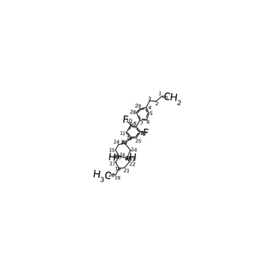 C=CCCc1ccc(-c2c(F)cc([C@@H]3CC[C@@H]4CC(CC)CC[C@@H]4C3)cc2F)cc1